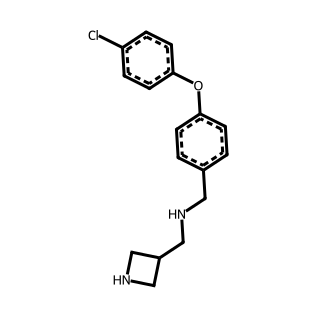 Clc1ccc(Oc2ccc(CNCC3CNC3)cc2)cc1